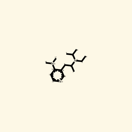 CCN(C(C)C)C(C)Cc1cnccc1N(C)C